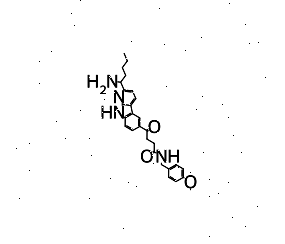 CCCCC(N)c1ccc2c(n1)[nH]c1ccc(C(=O)CCC(=O)NCc3ccc(OC)cc3)cc12